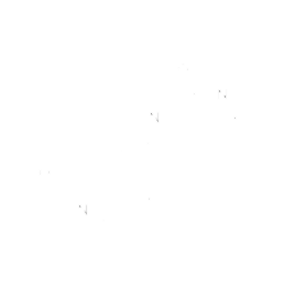 COc1cc2c(cc1N)-c1c(C3CC=CS3)cc(C(=O)N(C)C(C)(C)C)n1CC2